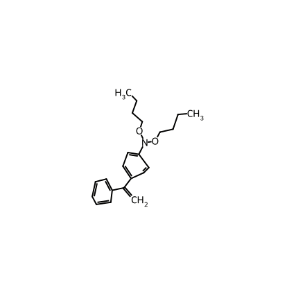 C=C(c1ccccc1)c1ccc(N(OCCCC)OCCCC)cc1